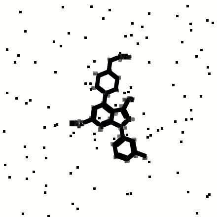 COCC1CCN(c2cc(C(=O)O)nc3c2c(C(C)C)nn3-c2cccc(C)c2)CC1